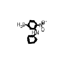 Bc1ccc([N+](=O)[O-])c(Nc2ccccc2)c1